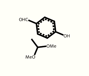 COC(C)OC.O=Cc1ccc(O)cc1